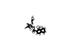 COCCn1c(C)c(C)s/c1=N\C(=O)c1ccc2ccccc2c1O